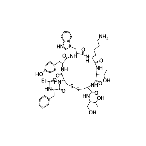 CCC(=O)NC(Cc1ccccc1)C(=O)NC1CSSCC(C(=O)NC(CO)C(C)O)NC(=O)C(C(C)O)NC(=O)C(CCCCN)NC(=O)C(Cc2c[nH]c3ccccc23)NC(=O)C(Cc2ccc(O)cc2)NC1=O